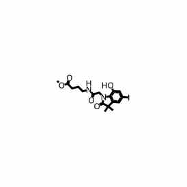 COC(=O)CCCNC(=O)CN1C(=O)C(C)(C)c2cc(I)cc(O)c21